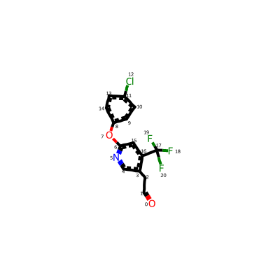 O=CCc1cnc(Oc2ccc(Cl)cc2)cc1C(F)(F)F